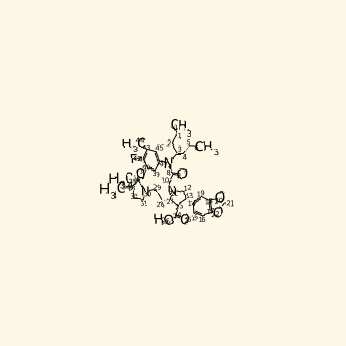 CCCC(CCC)N(C(=O)CN1C[C@H](c2ccc3c(c2)OCO3)[C@@H](C(=O)O)[C@@H]1CCN1CCC(C)(C)C1=O)c1ccc(F)c(C)c1